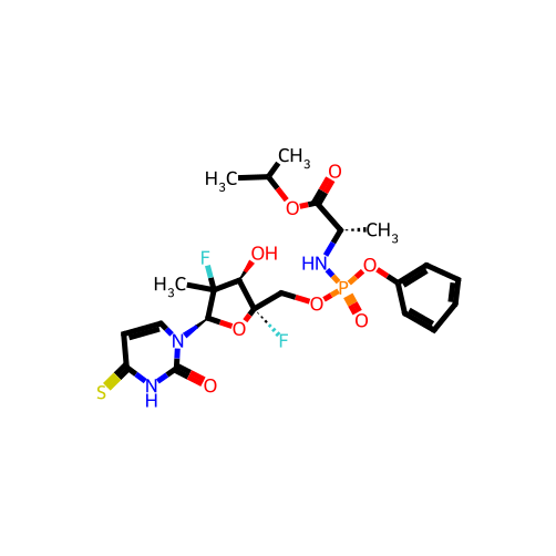 CC(C)OC(=O)[C@H](C)NP(=O)(OC[C@@]1(F)O[C@@H](n2ccc(=S)[nH]c2=O)C(C)(F)[C@H]1O)Oc1ccccc1